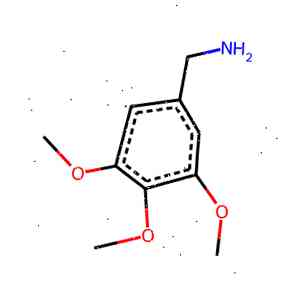 COc1[c]c(CN)cc(OC)c1OC